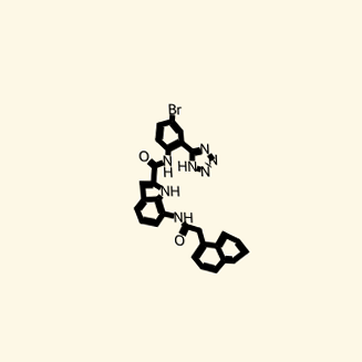 O=C(Cc1cccc2ccccc12)Nc1cccc2cc(C(=O)Nc3ccc(Br)cc3-c3nnn[nH]3)[nH]c12